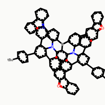 CC(C)(C)c1ccc(-c2cc(-c3ccccc3)c(N3c4cc(-c5ccc6oc7ccccc7c6c5)ccc4B4c5ccc(-n6c7ccccc7c7ccccc76)cc5N(c5c(-c6ccccc6)cc(-c6ccc(C(C)(C)C)cc6)cc5-c5ccccc5)c5cc(-c6ccc7oc8ccccc8c7c6)cc3c54)c(-c3ccccc3)c2)cc1